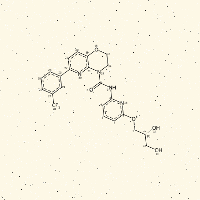 O=C(Nc1cccc(OC[C@H](O)CO)n1)N1CCOc2ccc(-c3cccc(C(F)(F)F)c3)nc21